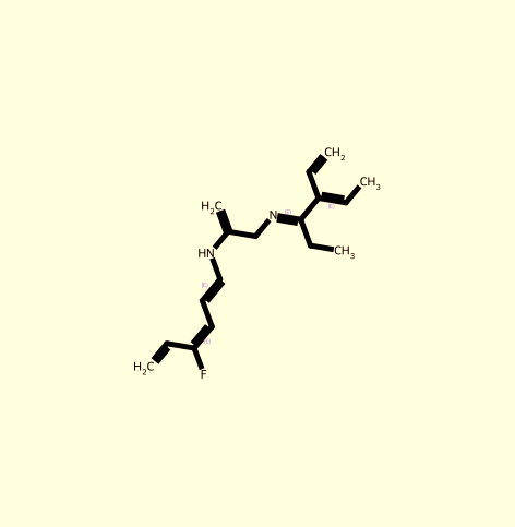 C=C/C(F)=C\C=C\NC(=C)C/N=C(CC)/C(C=C)=C/C